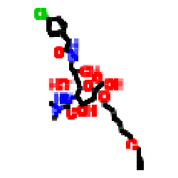 C#CCOCCCCCCO[C@]1(C(=O)O)C[C@H](O)[C@@H](NC(=O)N(C)C)[C@H]([C@H](O)[C@H](O)CNC(=O)Cc2ccc(Cl)cc2)O1